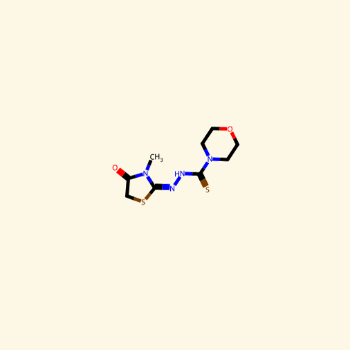 CN1C(=O)CS/C1=N/NC(=S)N1CCOCC1